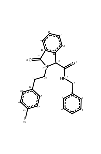 O=C(NCc1ccccc1)C1c2ccccc2C(=O)N1CCc1ccc(F)cc1